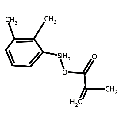 C=C(C)C(=O)O[SiH2]c1cccc(C)c1C